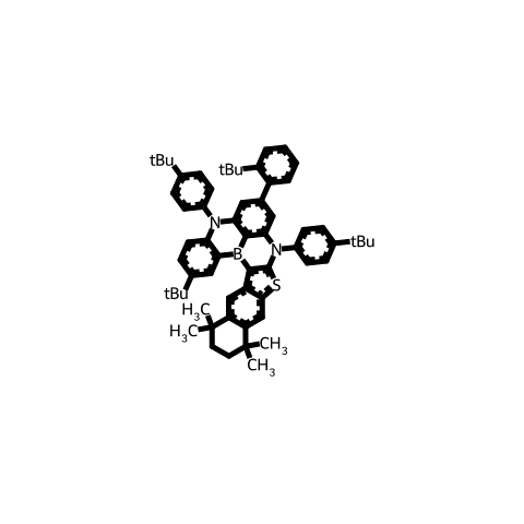 CC(C)(C)c1ccc(N2c3ccc(C(C)(C)C)cc3B3c4c2cc(-c2ccccc2C(C)(C)C)cc4N(c2ccc(C(C)(C)C)cc2)c2sc4cc5c(cc4c23)C(C)(C)CCC5(C)C)cc1